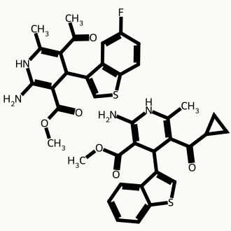 COC(=O)C1=C(N)NC(C)=C(C(=O)C2CC2)C1c1csc2ccccc12.COC(=O)C1=C(N)NC(C)=C(C(C)=O)C1c1csc2ccc(F)cc12